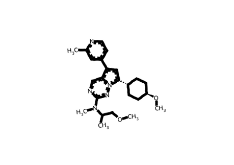 COCC(C)N(C)c1ncc2c(-c3ccnc(C)c3)cc([C@H]3CC[C@H](OC)CC3)n2n1